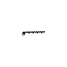 C=CC/C(C)=C/CC/C(C)=C/CC/C(C)=C/CC/C(C)=C/CCc1ccoc1